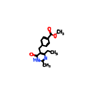 CCc1nc(C)[nH]c(=O)c1Cc1ccc(C(=O)OC)cc1